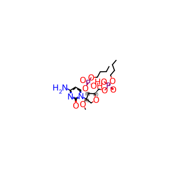 CCCCOP(=O)(O)OC[C@H]1OC[C@](OC)(n2ccc(N)nc2=O)[C@@H]1OP(=O)(O)OCCCC